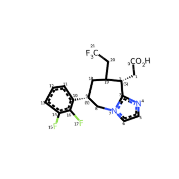 O=C(O)C[C@@H]1c2nccn2C[C@H](c2cccc(F)c2F)CC1CC(F)(F)F